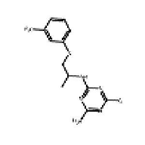 CC(CSc1cccc(C(F)(F)F)c1)Nc1nc(N)nc(Cl)n1